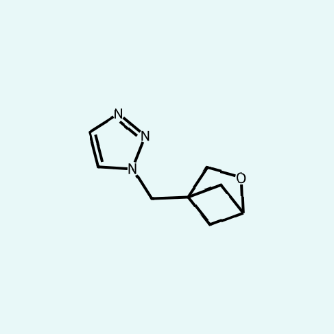 c1cn(CC23COC(C2)C3)nn1